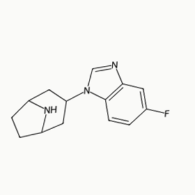 Fc1ccc2c(c1)ncn2C1CC2CCC(C1)N2